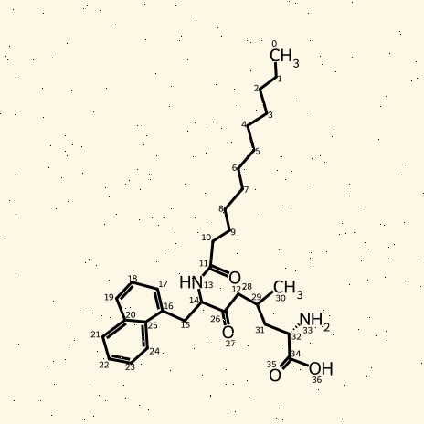 CCCCCCCCCCCC(=O)NC(Cc1cccc2ccccc12)C(=O)CC(C)C[C@H](N)C(=O)O